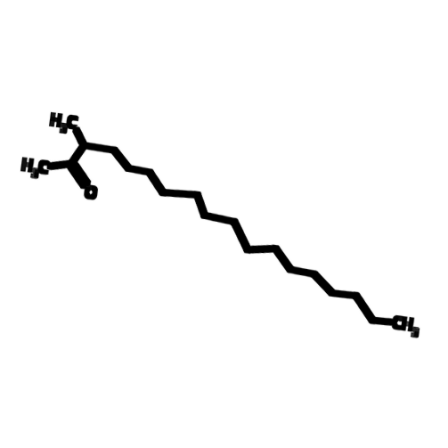 CCCCCCCCCCCCCCCC(C)C(C)=O